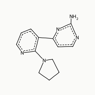 Nc1nccc(-c2cccnc2N2CCCC2)n1